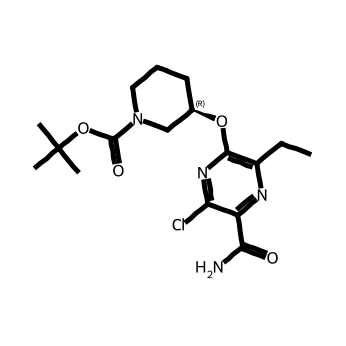 CCc1nc(C(N)=O)c(Cl)nc1O[C@@H]1CCCN(C(=O)OC(C)(C)C)C1